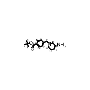 CC(C)(C)OC(=O)c1ccc(CN2CCC[C@H](N)C2)cc1